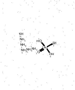 N.N.N.N.N.O=[As](O)(O)S.[KH]